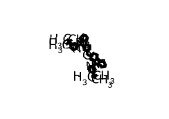 CC(C)(C)c1ccnc(-n2c3ccccc3c3ccc(Oc4ccc5c6ccccc6n(-c6cc(C(C)(C)C)ccn6)c5c4)cc32)c1